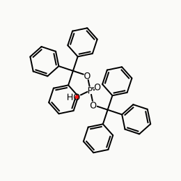 O=P(O)(OC(c1ccccc1)(c1ccccc1)c1ccccc1)OC(c1ccccc1)(c1ccccc1)c1ccccc1